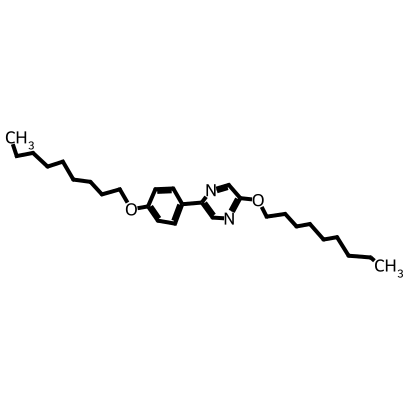 CCCCCCCCCOc1ccc(-c2cnc(OCCCCCCCCC)cn2)cc1